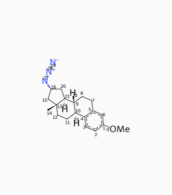 COc1ccc2c(c1)CC[C@@H]1[C@@H]2CC[C@]2(C)C[C@@H](N=[N+]=[N-])C[C@@H]12